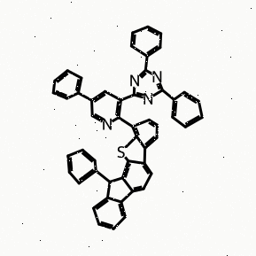 c1ccc(-c2cnc(-c3cccc4c3sc3c5c(ccc34)-c3ccccc3C5c3ccccc3)c(-c3nc(-c4ccccc4)nc(-c4ccccc4)n3)c2)cc1